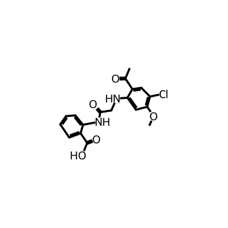 COc1cc(NCC(=O)Nc2ccccc2C(=O)O)c(C(C)=O)cc1Cl